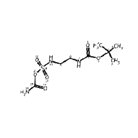 CC(C)(C)OC(=O)NCCNS(=O)(=O)OC(N)=O